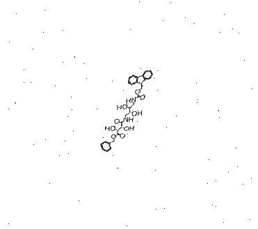 O=C(NC[C@H](O)[C@H](O)CNC(=O)[C@H](O)[C@H](O)C(=O)OCc1ccccc1)OCC1c2ccccc2-c2ccccc21